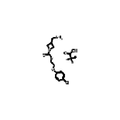 NCC1CN(C(=O)OCCOc2ccc(Cl)cc2)C1.O=C(O)C(F)(F)F